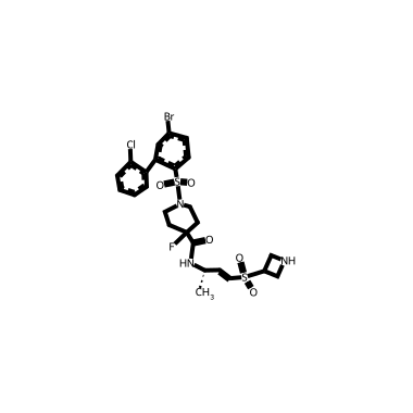 C[C@@H](/C=C/S(=O)(=O)C1CNC1)NC(=O)C1(F)CCN(S(=O)(=O)c2ccc(Br)cc2-c2ccccc2Cl)CC1